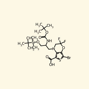 CC(C)(C)OC(=O)NC(CO[Si](C)(C)C(C)(C)C)CN1CC(F)(F)Oc2c(Br)sc(C(=O)O)c21